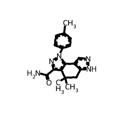 Cc1ccc(-n2nc(C(N)=O)c3c2-c2cn[nH]c2CC3(C)C)cc1